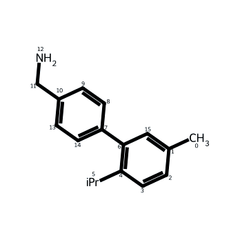 Cc1ccc(C(C)C)c(-c2ccc(CN)cc2)c1